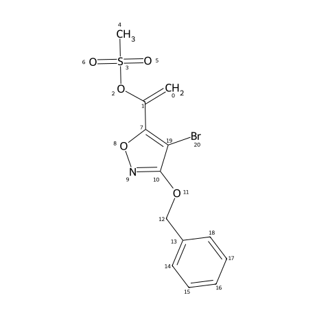 C=C(OS(C)(=O)=O)c1onc(OCc2ccccc2)c1Br